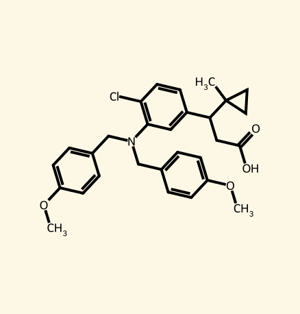 COc1ccc(CN(Cc2ccc(OC)cc2)c2cc(C(CC(=O)O)C3(C)CC3)ccc2Cl)cc1